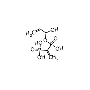 C=CC(O)OP(=O)(O)C(=C)P(=O)(O)O